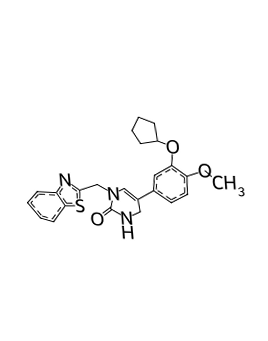 COc1ccc(C2=CN(Cc3nc4ccccc4s3)C(=O)NC2)cc1OC1CCCC1